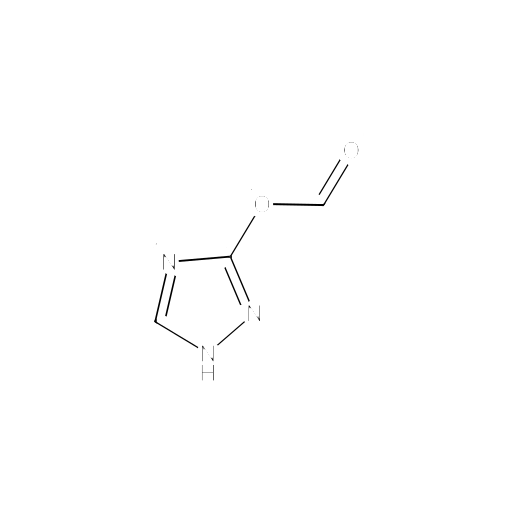 O=[C]Oc1nc[nH]n1